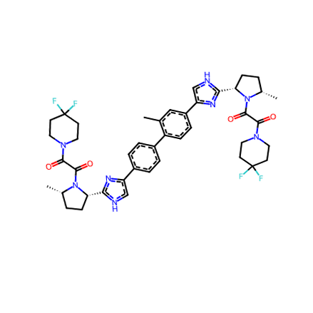 Cc1cc(-c2c[nH]c([C@@H]3CC[C@H](C)N3C(=O)C(=O)N3CCC(F)(F)CC3)n2)ccc1-c1ccc(-c2c[nH]c([C@@H]3CC[C@H](C)N3C(=O)C(=O)N3CCC(F)(F)CC3)n2)cc1